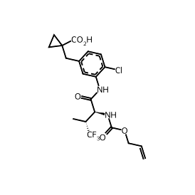 C=CCOC(=O)N[C@H](C(=O)Nc1cc(CC2(C(=O)O)CC2)ccc1Cl)[C@@H](C)C(F)(F)F